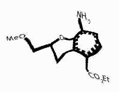 CCOC(=O)c1ccc(N)c2c1CC(COC)O2